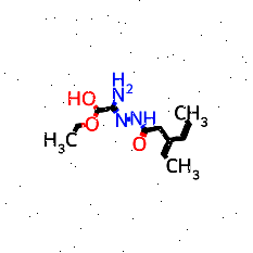 C/C=C\C(=C/C)CC(=O)N/N=C(\N)C(O)OCC